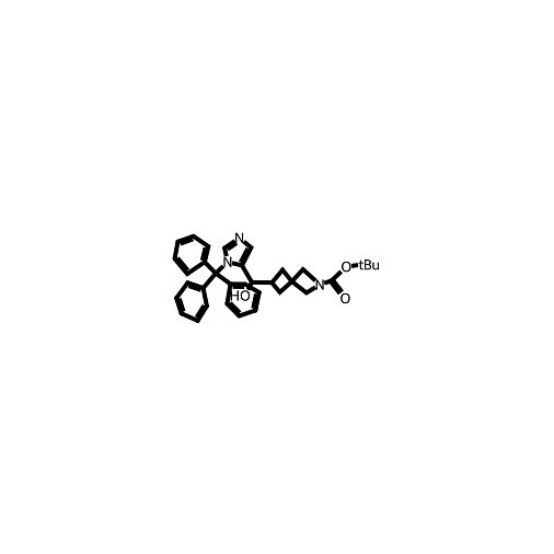 CC(C)(C)OC(=O)N1CC2(CC(C(O)c3cncn3C(c3ccccc3)(c3ccccc3)c3ccccc3)C2)C1